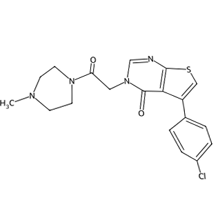 CN1CCN(C(=O)Cn2cnc3scc(-c4ccc(Cl)cc4)c3c2=O)CC1